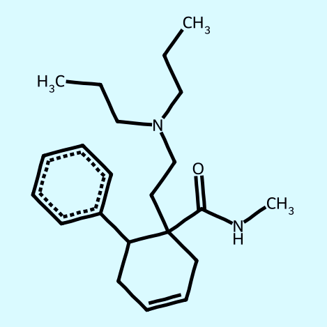 CCCN(CCC)CCC1(C(=O)NC)CC=CCC1c1ccccc1